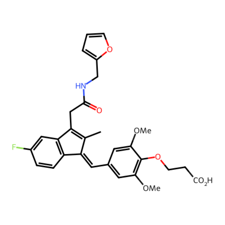 COc1cc(C=C2C(C)=C(CC(=O)NCc3ccco3)c3cc(F)ccc32)cc(OC)c1OCCC(=O)O